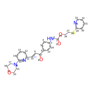 O=C(Nc1ccc(C(=O)/C=C/c2cccc(N3CCOCC3)n2)cc1)OCCSc1ccccn1